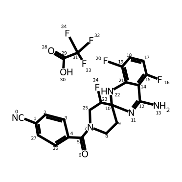 N#Cc1ccc(C(=O)N2CCC3(N=C(N)c4c(F)ccc(F)c4N3)C(F)C2)cc1.O=C(O)C(F)(F)F